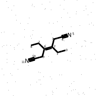 CC/C(CC#N)=C(/CC)CC#N